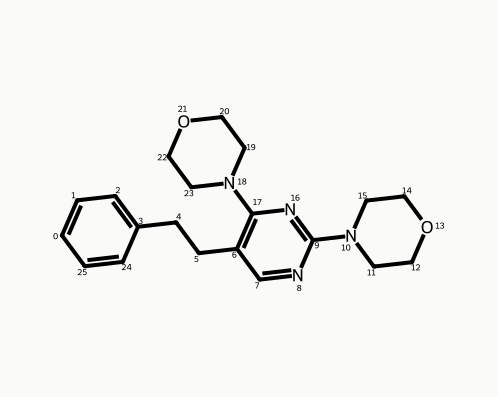 c1ccc(CCc2cnc(N3CCOCC3)nc2N2CCOCC2)cc1